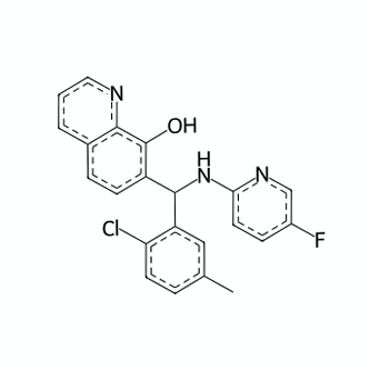 Cc1ccc(Cl)c(C(Nc2ccc(F)cn2)c2ccc3cccnc3c2O)c1